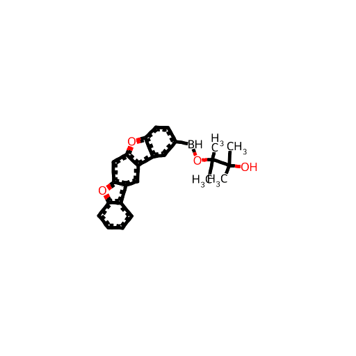 CC(C)(O)C(C)(C)OBc1ccc2oc3cc4oc5ccccc5c4cc3c2c1